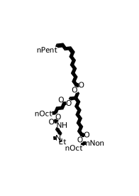 CCCCC/C=C\C/C=C\CCCCCCCC(=O)OCC(CCCCCCCCC(=O)OC(CCCCCCCC)CCCCCCCCC)COC(=O)CCC(CCCCCCCC)OC(=O)NCCN(C)CC